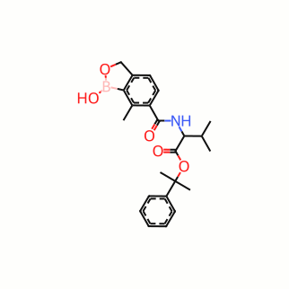 Cc1c(C(=O)NC(C(=O)OC(C)(C)c2ccccc2)C(C)C)ccc2c1B(O)OC2